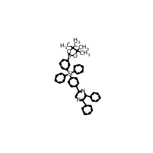 CC1(C)OB(c2cccc([Si](c3ccccc3)(c3ccccc3)c3ccc(-c4cnc(-c5ccccc5)c(-c5ccccc5)n4)cc3)c2)OC1(C)C